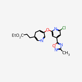 CCOC(=O)CCC1=CN=CC(Oc2cc(-c3nc(C)no3)cc(Cl)n2)=CC1